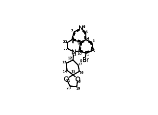 Brc1ccc2cncc3c2c1N(C1CCC2(CC1)OCCO2)CC3